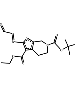 CCOC(=O)c1c(N=CC=S)sc2c1CCN(C(=O)OC(C)(C)C)C2